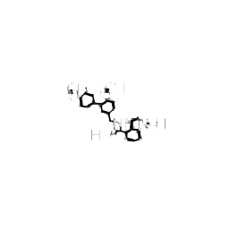 COc1ccc(-c2cc(CNC(C)c3cccc4c3ccn4C)ccc2OC)cc1